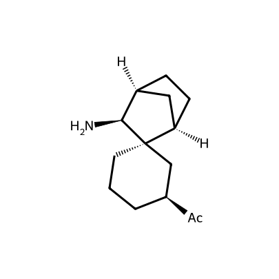 CC(=O)[C@H]1CCC[C@@]2(C1)[C@@H]1CC[C@@H](C1)[C@@H]2N